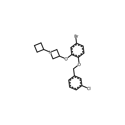 Clc1cccc(COc2ccc(Br)cc2OC2CN(C3CCC3)C2)c1